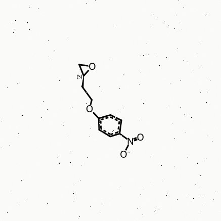 O=[N+]([O-])c1ccc(OCC[C@H]2CO2)cc1